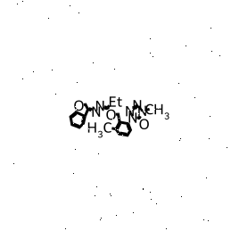 CC/C(=N/N=C1\COc2ccccc21)OCc1c(C)cccc1-n1nnn(C)c1=O